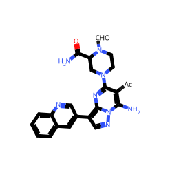 CC(=O)c1c(N2CCN(C=O)C(C(N)=O)C2)nc2c(-c3cnc4ccccc4c3)cnn2c1N